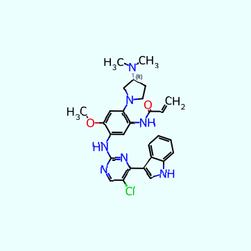 C=CC(=O)Nc1cc(Nc2ncc(Cl)c(-c3c[nH]c4ccccc34)n2)c(OC)cc1N1CC[C@@H](N(C)C)C1